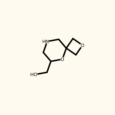 OCC1CNCC2(COC2)O1